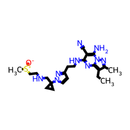 CCc1c(C)nn2c(N)c(C#N)c(NCCc3ccn(C4(CNCC[S+](C)[O-])CC4)n3)nc12